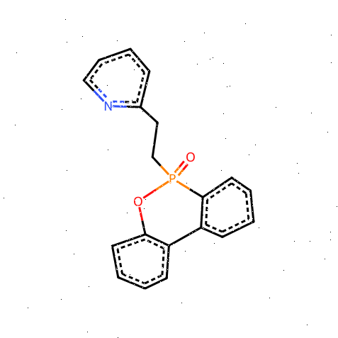 O=P1(CCc2ccccn2)Oc2ccccc2-c2ccccc21